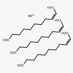 CCCCCCCC/C=C\CCCCCCCC(=O)[O-].CCCCCCCC/C=C\CCCCCCCC(=O)[O-].CCCCCCCC/C=C\CCCCCCCC(=O)[O-].[Nd+3]